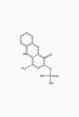 Cc1cc(OP(=O)(O)O)c(=O)c2cc3ccccc3[nH]c1-2